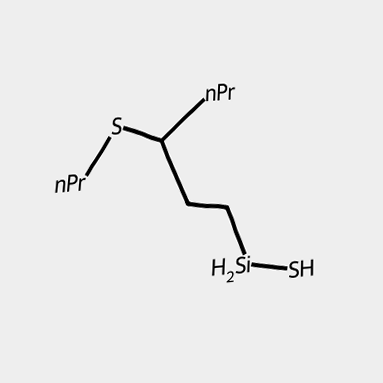 CCCSC(CCC)CC[SiH2]S